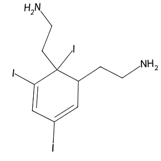 NCCC1C=C(I)C=C(I)C1(I)CCN